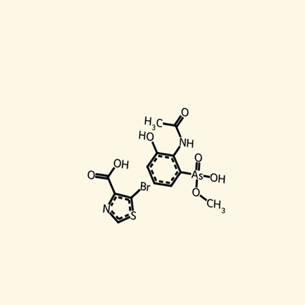 CO[As](=O)(O)c1cccc(O)c1NC(C)=O.O=C(O)c1ncsc1Br